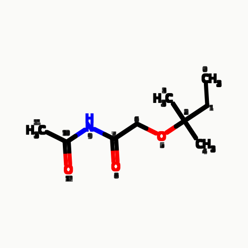 CCC(C)(C)OCC(=O)NC(C)=O